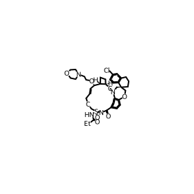 CCC(=O)N[S@]1(=O)=NC(=O)c2ccc3c(c2)N(C[C@@H]2CC[C@H]2[C@@H](OCCN2CCOCC2)/C=C/CCC1)C[C@@]1(CCCc2cc(Cl)ccc21)CO3